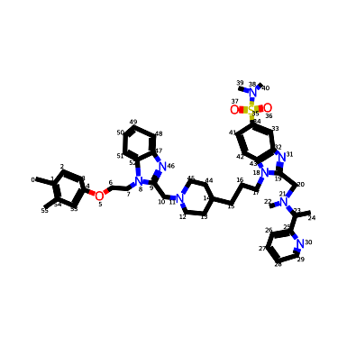 Cc1ccc(OCCn2c(CN3CCC(CCCn4c(CN(C)C(C)c5ccccn5)nc5cc(S(=O)(=O)N(C)C)ccc54)CC3)nc3ccccc32)cc1C